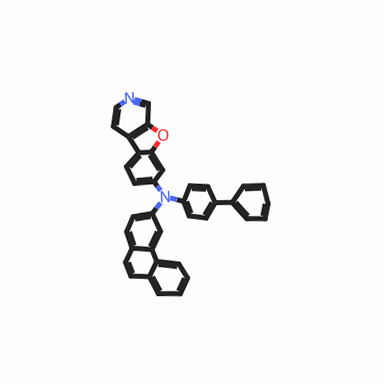 c1ccc(-c2ccc(N(c3ccc4c(c3)oc3cnccc34)c3ccc4ccc5ccccc5c4c3)cc2)cc1